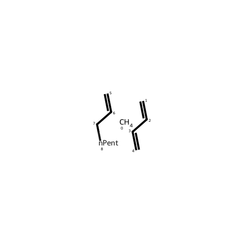 C.C=CC=C.C=CCCCCCC